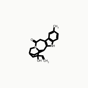 C=CC1(O)CC2CC3c4[nH]c5ccc(C)cc5c4CC(=O)N(C2)C31